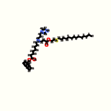 CCCCCCCCCCCCCCSCCOC(=O)CCN(CCCCCCCC(=O)OCC12C3C4C5C3C1C5C42)CCCn1ccnc1